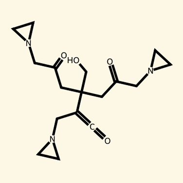 O=C=C(CN1CC1)C(CO)(CC(=O)CN1CC1)CC(=O)CN1CC1